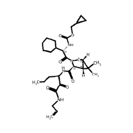 C=CCNC(=O)C(=O)C(CCC)NC(=O)[C@@H]1[C@@H]2[C@H](CN1C(=O)[C@@H](NC(=O)OCC1CC1)C1CCCCC1)C2(C)C